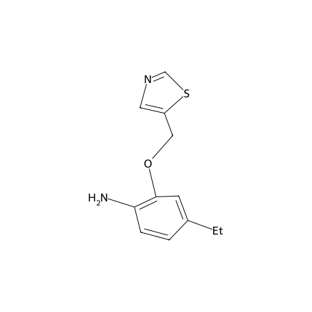 CCc1ccc(N)c(OCc2cncs2)c1